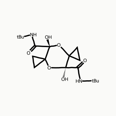 CC(C)(C)NC(=O)[C@]1(O)OC2(CC2)[C@@](O)(C(=O)NC(C)(C)C)OC12CC2